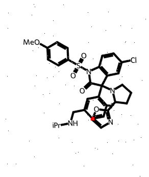 COc1ccc(S(=O)(=O)N2C(=O)C(c3cc(CNC(C)C)ccc3F)(N3CCCC3c3ncco3)c3cc(Cl)ccc32)cc1